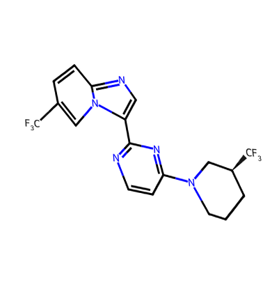 FC(F)(F)c1ccc2ncc(-c3nccc(N4CCC[C@H](C(F)(F)F)C4)n3)n2c1